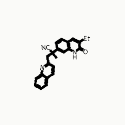 CCc1cc2ccc(C(C)(C#N)Cc3ccc4ccccc4n3)cc2[nH]c1=O